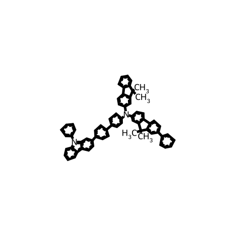 CC1(C)c2ccccc2-c2ccc(N(c3ccc(-c4ccc(-c5ccc6c7ccccc7n(-c7ccccc7)c6c5)cc4)cc3)c3ccc4c(c3)C(C)(C)c3cc(-c5ccccc5)ccc3-4)cc21